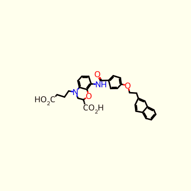 O=C(O)CCCN1CC(C(=O)O)Oc2c(NC(=O)c3ccc(OCCc4ccc5ccccc5c4)cc3)cccc21